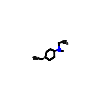 CN(CC(F)(F)F)[C@H]1CC[C@H](CC(C)(C)C)CC1